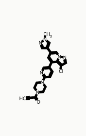 C#CC(=O)N1CCN(c2ccc(-c3cc(-c4cnn(C)c4)cn4ncc(Cl)c34)cn2)CC1